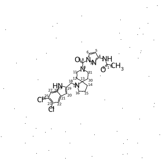 CC(=O)Nc1ccn(C(=O)N2CCC3(CCCN3Cc3cc4cc(Cl)c(Cl)cc4[nH]3)CC2)n1